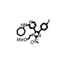 COCCn1c([S+](C)[O-])nc(-c2ccc(F)cc2)c1-c1ccnc(NC2CCCCCC2)c1